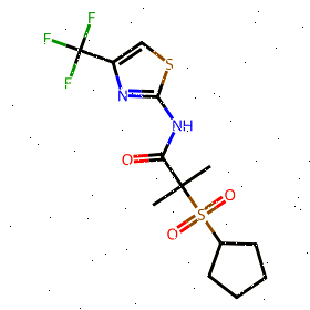 CC(C)(C(=O)Nc1nc(C(F)(F)F)cs1)S(=O)(=O)C1CCCC1